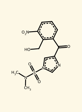 CN(C)S(=O)(=O)n1cnc(C(=O)c2cccc([N+](=O)[O-])c2CO)c1